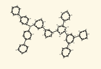 c1ccc(-c2ccc(N(c3ccc(-c4ccccc4)cc3)c3cccc(-c4cccc(-c5nc(-c6ccccc6)nc(-c6cc(-c7ccccc7)cc(-c7ccccc7)c6)n5)c4)c3)cc2)cc1